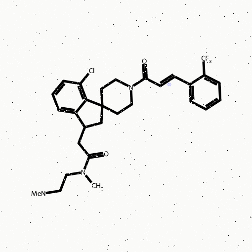 CNCCN(C)C(=O)CC1CC2(CCN(C(=O)/C=C/c3ccccc3C(F)(F)F)CC2)c2c(Cl)cccc21